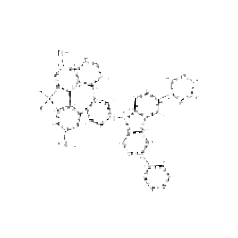 CC1(C)c2cc(N)ccc2-c2c1cc(N)c1cccc(-c3cccc(-n4c5ccc(-c6ccccc6)cc5c5cc(-c6ccccc6)ccc54)c3)c21